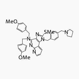 COc1ccc(CN(Cc2ccc(OC)cc2)c2nc3ncccc3c3c2nc(SC)n3Cc2ccc(CN3CCCC3)cc2)cc1